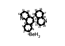 [BeH2].c1ccc2c(c1)ccc1cccnc12.c1ccc2ncccc2c1